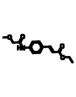 CCOC(=O)/C=C/c1ccc(NC(=O)COC)cc1